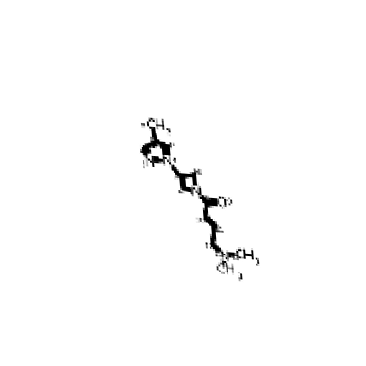 Cc1cnn(C2CN(C(=O)/C=C/CN(C)C)C2)c1